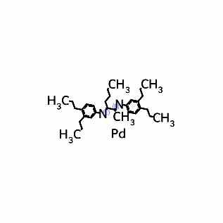 CCCCC(=N\c1ccc(CCC)c(CCC)c1)/C(C)=N/c1ccc(CCC)c(CCC)c1.[Pd]